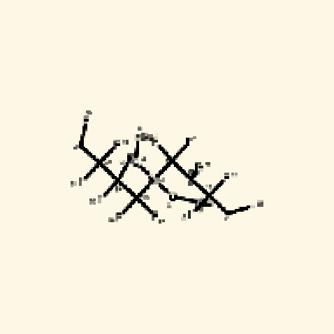 CCCC[O][Sn]([O]CCCC)([C](F)(F)C(F)(F)C(F)(F)CF)[C](F)(F)C(F)(F)C(F)(F)CF